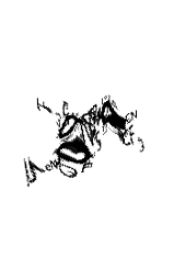 CNC(=O)c1ccc(N(C(=S)N(C)c2ccc(C#N)c(C(F)(F)F)c2)C2(C=O)CCCC(C)C2)cc1F